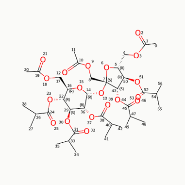 CC(=O)OC[C@H]1O[C@@](COC(C)=O)(O[C@H]2O[C@H](COC(C)=O)[C@@H](OC(=O)C(C)C)[C@H](OC(=O)C(C)C)[C@H]2OC(=O)C(C)C)[C@@H](OC(=O)C(C)C)[C@@H]1OC(=O)C(C)C